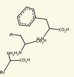 CC(C)CC(N)C(=O)O.CCC(C)C(N)C(=O)O.NC(Cc1ccccc1)C(=O)O